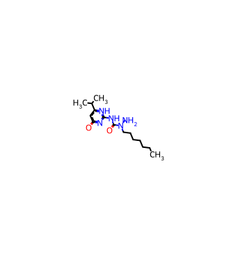 CCCCCCCN(N)C(=O)Nc1nc(=O)cc(C(C)C)[nH]1